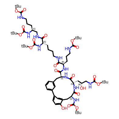 CC(C)(C)OC(=O)NCCC[C@@H](CNC(=O)[C@H](CCCCNC(=O)[C@@H](CCCNC(=O)OC(C)(C)C)NC(=O)[C@@H]1Cc2cccc(c2)-c2ccc(O)c(c2)C[C@H](NC(=O)OC(C)(C)C)C(=O)N[C@@H](C[C@@H](O)CNC(=O)OC(C)(C)C)C(=O)N1)NC(=O)OC(C)(C)C)NC(=O)OC(C)(C)C